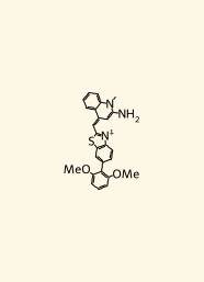 COc1cccc(OC)c1-c1ccc2c(c1)sc(C=C1C=C(N)N(C)c3ccccc31)[n+]2C